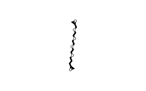 C(COCCOCCOCCOCC1CO1)CC1CO1